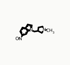 CN1CCC(Cn2ccc3ccc(N=O)cc32)C1